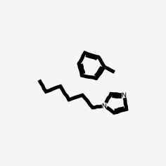 CCCCCCn1ccnc1.Cc1ccccc1